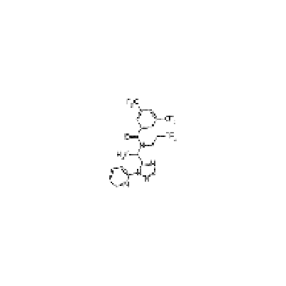 CC(c1ncnn1-c1ccccn1)N(CCC(F)(F)F)C(=O)c1cc(C(F)(F)F)cc(C(F)(F)F)c1